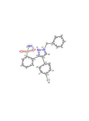 NS(=O)(=O)c1ccccc1-c1nn(Cc2ccccc2)cc1-c1ccc(Cl)cc1